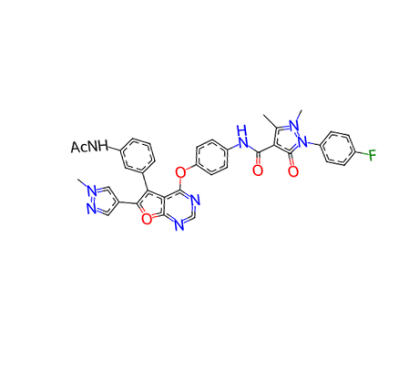 CC(=O)Nc1cccc(-c2c(-c3cnn(C)c3)oc3ncnc(Oc4ccc(NC(=O)c5c(C)n(C)n(-c6ccc(F)cc6)c5=O)cc4)c23)c1